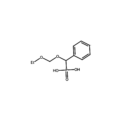 CCOCOC(c1cc[c]cc1)P(=O)(O)O